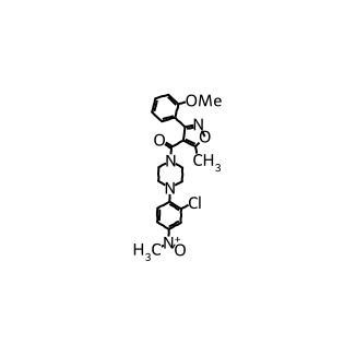 COc1ccccc1-c1noc(C)c1C(=O)N1CCN(c2ccc([N+](C)=O)cc2Cl)CC1